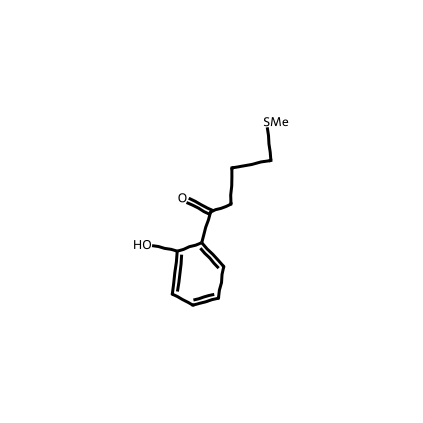 CSCCCC(=O)c1ccccc1O